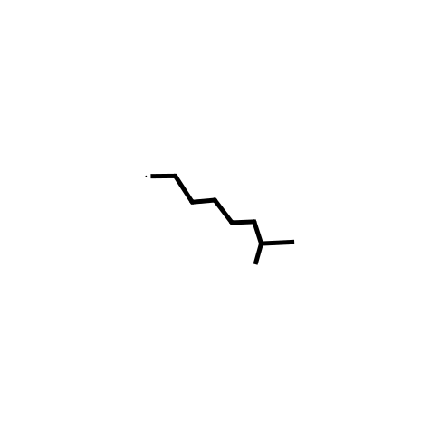 [CH2]CCCCCC(C)C